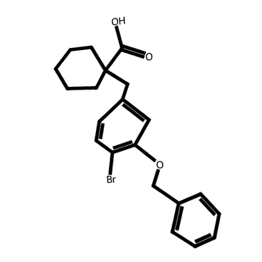 O=C(O)C1(Cc2ccc(Br)c(OCc3ccccc3)c2)CCCCC1